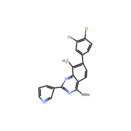 CNc1nc(-c2cccnc2)nc2c(C)c(-c3ccc(Cl)c(Cl)c3)ccc12